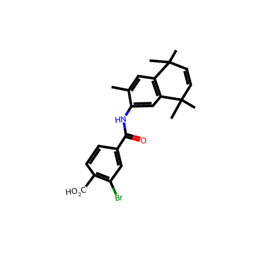 Cc1cc2c(cc1NC(=O)c1ccc(C(=O)O)c(Br)c1)C(C)(C)C=CC2(C)C